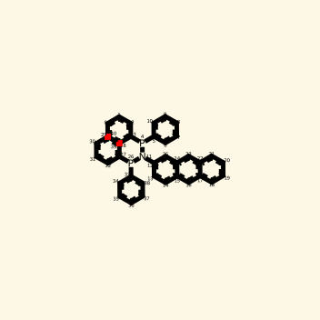 c1ccc(P(c2ccccc2)N(c2ccc3cc4ccccc4cc3c2)P(c2ccccc2)c2ccccc2)cc1